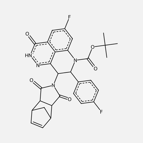 CC(C)(C)OC(=O)N1c2cc(F)cc3c(=O)[nH]nc(c23)C(N2C(=O)C3C4C=CC(C4)C3C2=O)C1c1ccc(F)cc1